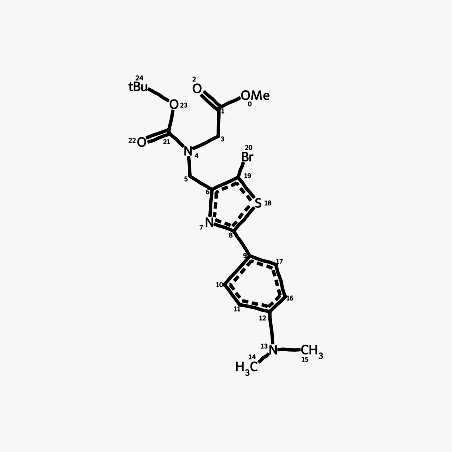 COC(=O)CN(Cc1nc(-c2ccc(N(C)C)cc2)sc1Br)C(=O)OC(C)(C)C